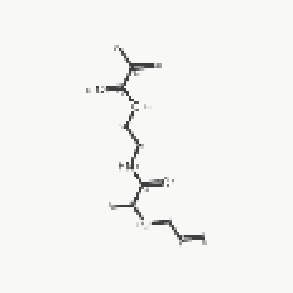 C=CCOC(C)C(=O)NCCOC(=O)C(=C)C